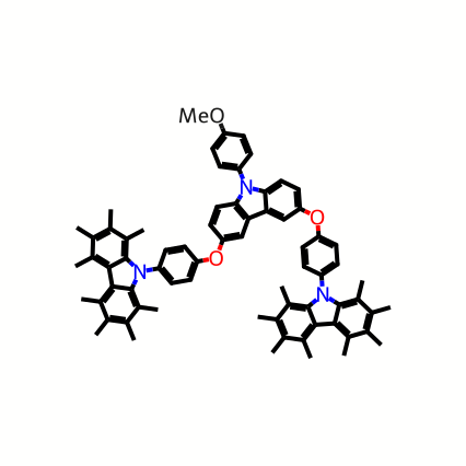 COc1ccc(-n2c3ccc(Oc4ccc(-n5c6c(C)c(C)c(C)c(C)c6c6c(C)c(C)c(C)c(C)c65)cc4)cc3c3cc(Oc4ccc(-n5c6c(C)c(C)c(C)c(C)c6c6c(C)c(C)c(C)c(C)c65)cc4)ccc32)cc1